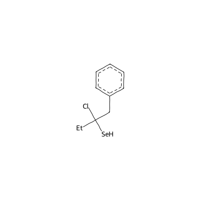 CCC(Cl)([SeH])Cc1ccccc1